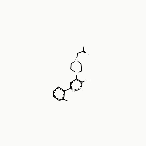 Nc1nnc(-c2ccccc2F)cc1N1CCN(CC(=O)O)CC1